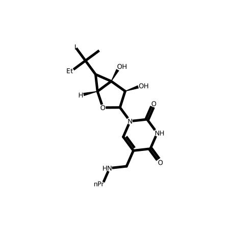 CCCNCc1cn(C2O[C@@H]3C(C(C)(I)CC)[C@]3(O)[C@H]2O)c(=O)[nH]c1=O